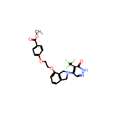 COC(=O)c1ccc(OCCOc2cccc3c2CN(c2cn[nH]c(=O)c2C(F)(F)F)C3)cc1